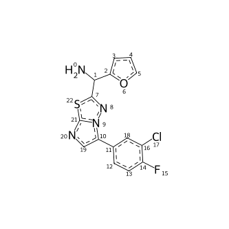 NC(c1ccco1)c1nn2c(-c3ccc(F)c(Cl)c3)cnc2s1